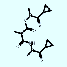 CC(C(=O)NN(C)C(=S)C1CC1)C(=O)NN(C)C(=S)C1CC1